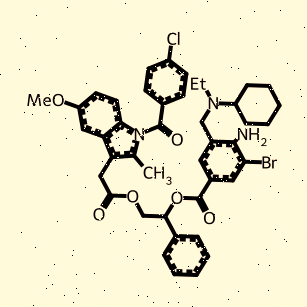 CCN(Cc1cc(C(=O)OC(COC(=O)Cc2c(C)n(C(=O)c3ccc(Cl)cc3)c3ccc(OC)cc23)c2ccccc2)cc(Br)c1N)C1CCCCC1